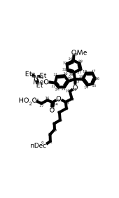 CCCCCCCCCCCCCCCCCC(CCOC(c1ccccc1)(c1ccc(OC)cc1)c1ccc(OC)cc1)OC(=O)CCC(=O)O.CCN(CC)CC